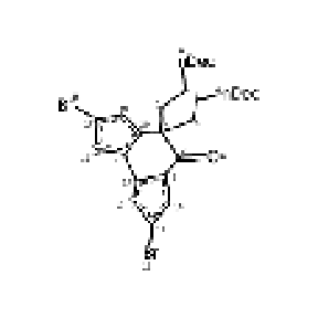 CCCCCCCCCCCCC1(CCCCCCCCCCCC)C(=O)c2cc(Br)sc2-c2sc(Br)cc21